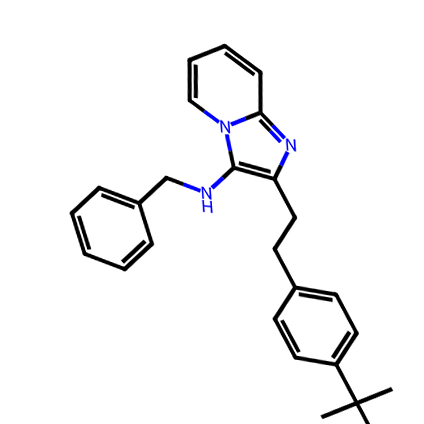 CC(C)(C)c1ccc(CCc2nc3ccccn3c2NCc2ccccc2)cc1